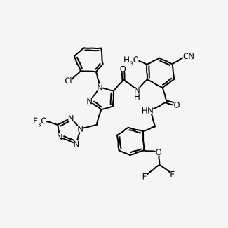 Cc1cc(C#N)cc(C(=O)NCc2ccccc2OC(F)F)c1NC(=O)c1cc(Cn2nnc(C(F)(F)F)n2)nn1-c1ccccc1Cl